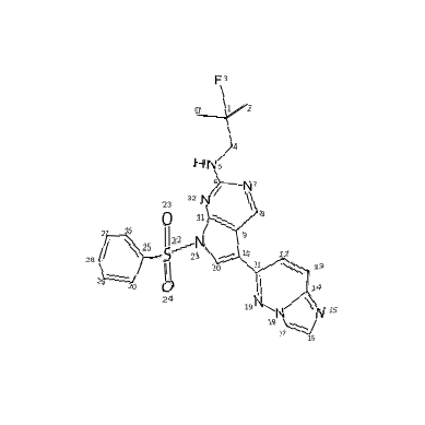 CC(C)(F)CNc1ncc2c(-c3ccc4nccn4n3)cn(S(=O)(=O)c3ccccc3)c2n1